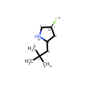 CC(C)(C)CC1C[C@H](F)CN1